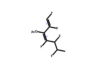 CC(=O)OC(/C(F)=C/F)=C(\F)C(F)C(C)F